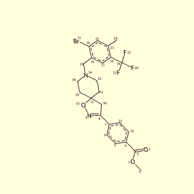 COC(=O)c1ccc(C2=NOC3(CCN(Cc4cc(C(F)(F)F)c(C)cc4Br)CC3)C2)cc1